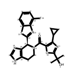 CC(C)(O)c1nc(C2CC2)c(C(=O)N2CCc3[nH]cnc3[C@H]2c2nc3c(F)cccc3s2)o1